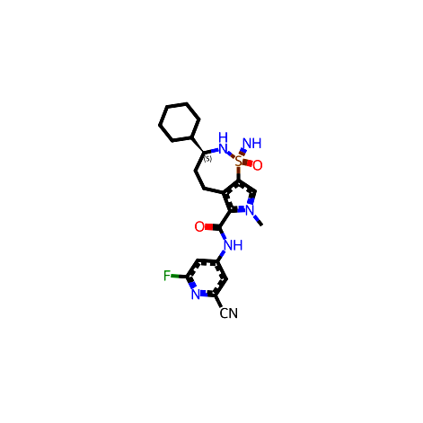 Cn1cc2c(c1C(=O)Nc1cc(F)nc(C#N)c1)CC[C@@H](C1CCCCC1)NS2(=N)=O